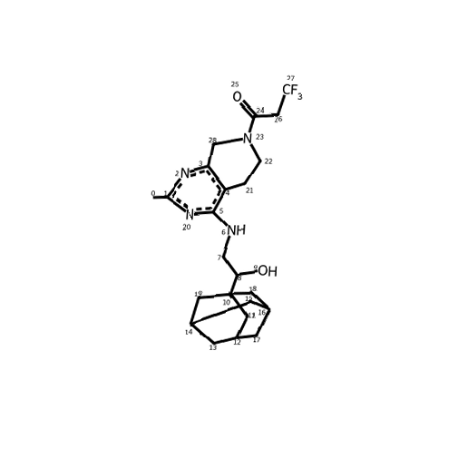 Cc1nc2c(c(NCC(O)C34CC5CC(CC(C5)C3)C4)n1)CCN(C(=O)CC(F)(F)F)C2